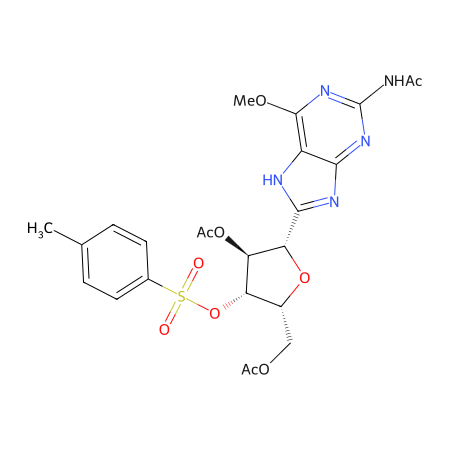 COc1nc(NC(C)=O)nc2nc([C@@H]3O[C@H](COC(C)=O)[C@H](OS(=O)(=O)c4ccc(C)cc4)[C@H]3OC(C)=O)[nH]c12